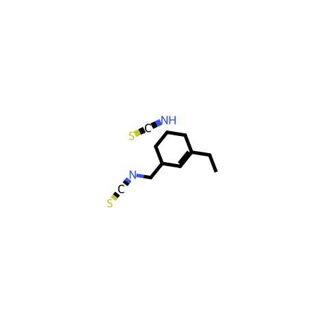 CCC1=CC(CN=C=S)CCC1.N=C=S